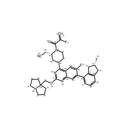 C=C(F)C(=O)N1CCN(c2nc(OCC34CCCN3CCC4)nc3cc(-c4cccc5c4C[C@H](F)C5)c(F)cc23)C[C@@H]1CC#N